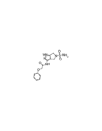 NS(=O)(=O)N1Cc2[nH]nc(NC(=O)COc3ccccc3)c2C1